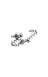 CCCCCCCC/C=C\CCCCCCCC(=O)OC[C@H](CO)OC(=O)CCC(CCCC/C=C\CCCCCCCC)C(C[N+](C)(C)C)OP(=O)([O-])O